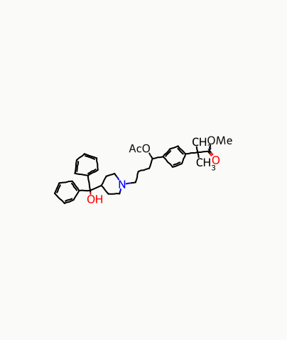 COC(=O)C(C)(C)c1ccc(C(CCCN2CCC(C(O)(c3ccccc3)c3ccccc3)CC2)OC(C)=O)cc1